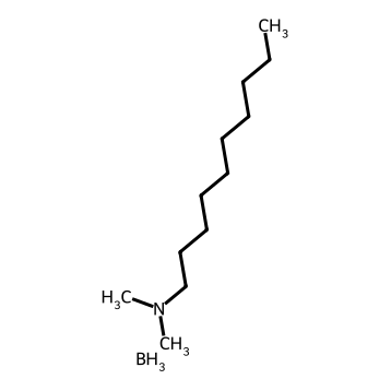 B.CCCCCCCCCCN(C)C